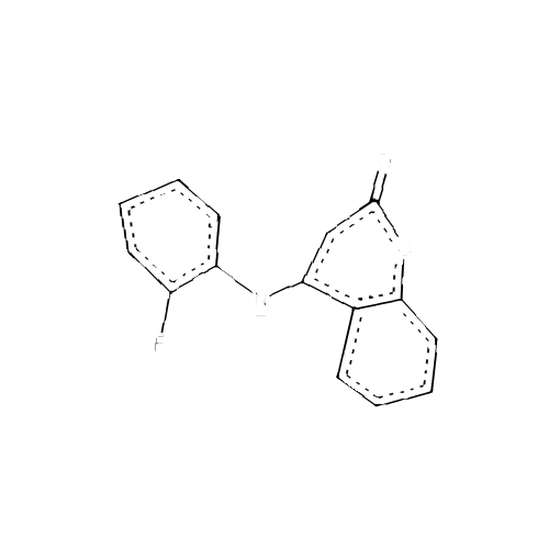 O=c1cc(Nc2ccccc2F)c2ccccc2o1